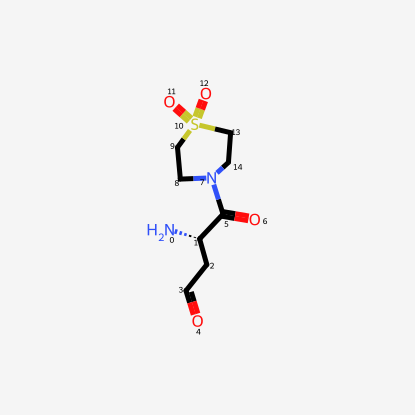 N[C@@H](CC=O)C(=O)N1CCS(=O)(=O)CC1